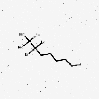 CCCCCCC(Br)(Br)C(O)(O)O